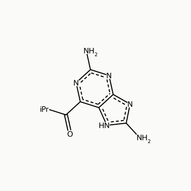 CC(C)C(=O)c1nc(N)nc2nc(N)[nH]c12